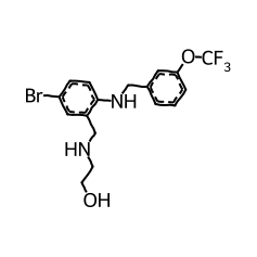 OCCNCc1cc(Br)ccc1NCc1cccc(OC(F)(F)F)c1